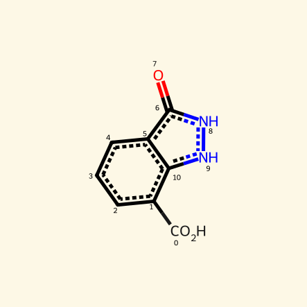 O=C(O)c1cccc2c(=O)[nH][nH]c12